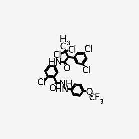 CC(Cl)(Cl)C(C(=O)Nc1ccc(Cl)c(C(=O)NNc2ccc(OC(F)(F)F)cc2)c1)c1cc(Cl)cc(Cl)c1